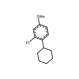 CCc1cc(OC)ccc1C1CCCCC1